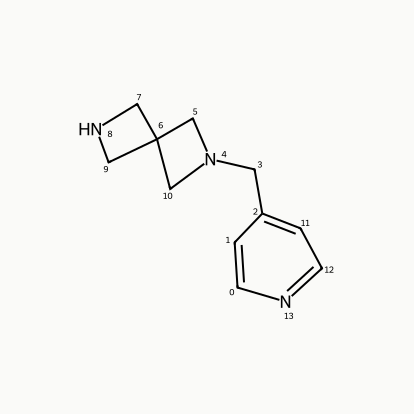 c1cc(CN2CC3(CNC3)C2)ccn1